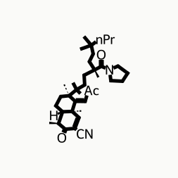 CCCC(C)(C)CC[C@@](C)(CCC(C)(C)[C@]1(C)CC[C@H]2[C@H](C)C(=O)C(C#N)=C[C@]2(C)/C1=C/C(C)=O)C(=O)N1CCCC1